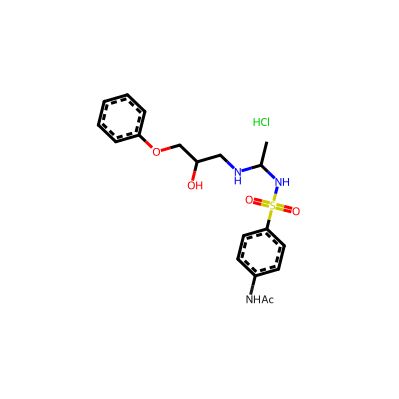 CC(=O)Nc1ccc(S(=O)(=O)NC(C)NCC(O)COc2ccccc2)cc1.Cl